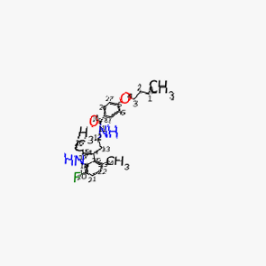 CCCCOc1ccc(C(=O)NCCc2c(C)[nH]c3c(F)ccc(C)c23)cc1